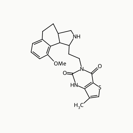 COc1cccc2c1C1C(CC2)CNC1CCn1c(=O)[nH]c2c(C)csc2c1=O